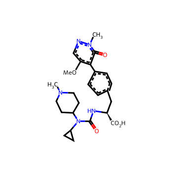 COc1cnn(C)c(=O)c1-c1ccc(C[C@H](NC(=O)N(C2CC2)C2CCN(C)CC2)C(=O)O)cc1